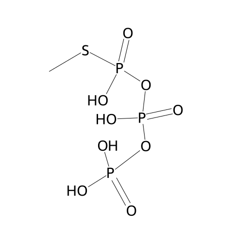 CSP(=O)(O)OP(=O)(O)OP(=O)(O)O